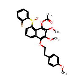 COc1ccc(CCOc2c(OC)c(OC)c(OC(C)=O)c3c([S+]([O-])c4ccccc4Br)cccc23)cc1